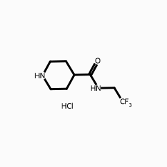 Cl.O=C(NCC(F)(F)F)C1CCNCC1